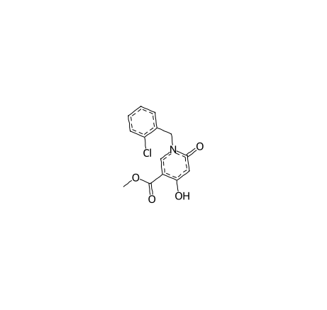 COC(=O)c1cn(Cc2ccccc2Cl)c(=O)cc1O